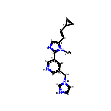 CC(C)n1c(/C=C/C2C=C2)cnc1-c1cncc(Cn2ccnc2)c1